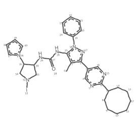 Cc1c(-c2cnc(C3CCCCCCC3)nc2)nn(-c2ccccc2)c1NC(=O)NC1CN(I)CC1n1cccc1